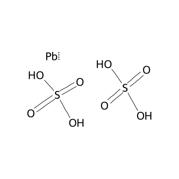 O=S(=O)(O)O.O=S(=O)(O)O.[Pb]